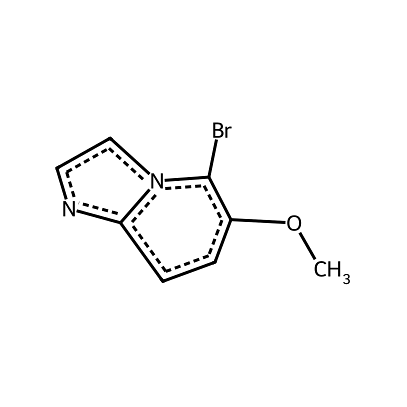 COc1ccc2nccn2c1Br